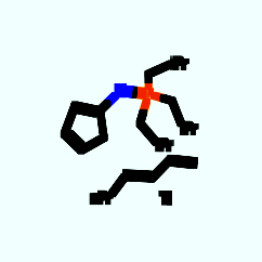 C=CC=CCCC.CC(C)CP(CC(C)C)(CC(C)C)=NC1=CC=CC1.[Ti]